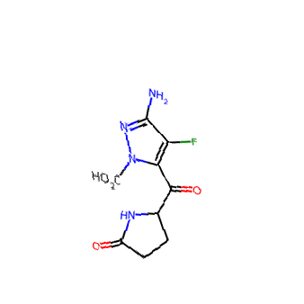 Nc1nn(C(=O)O)c(C(=O)C2CCC(=O)N2)c1F